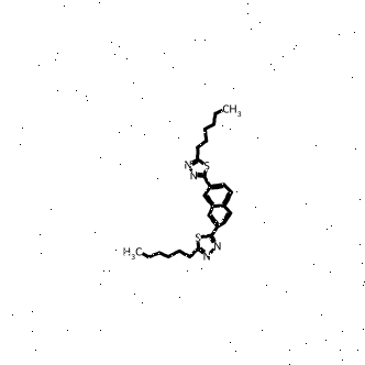 CCCCCCc1nnc(-c2ccc3ccc(-c4nnc(CCCCCC)s4)cc3c2)s1